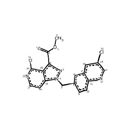 COC(=O)c1nn(Cc2ccc3ncc(Cl)cc3c2)c2ccnc(Cl)c12